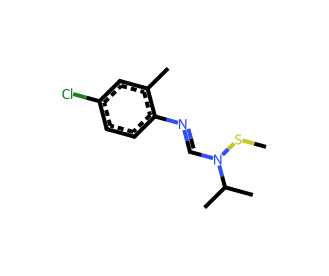 CSN(C=Nc1ccc(Cl)cc1C)C(C)C